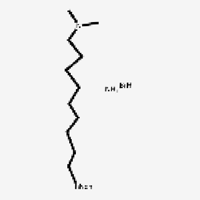 Br.CCCCCCCCCCCCCCCCCCN(C)C.N